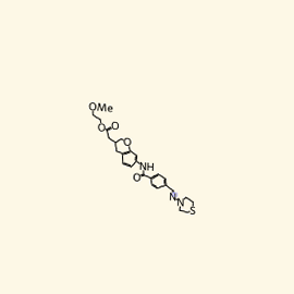 COCCOC(=O)CC1COc2cc(NC(=O)c3ccc(/C=N/N4CCSCC4)cc3)ccc2C1